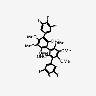 COc1c(OC)c(-c2cc(F)c(F)c(F)c2)c(C=O)c(-c2c(C=O)c(-c3cc(F)c(F)c(F)c3)c(OC)c(OC)c2OC)c1OC